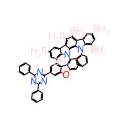 Bc1cc(B)c2c(c1)c1c(B)c(B)c3c4cc(B)cc(B)c4n(-c4cccc5oc6cc(-c7nc(-c8ccccc8)nc(-c8ccccc8)n7)ccc6c45)c3c1n2-c1ccccc1